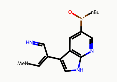 CCCC[S+]([O-])c1cnc2[nH]cc(/C(C=N)=C/NC)c2c1